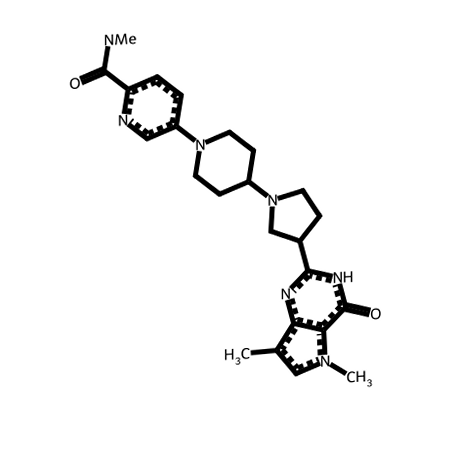 CNC(=O)c1ccc(N2CCC(N3CCC(c4nc5c(C)cn(C)c5c(=O)[nH]4)C3)CC2)cn1